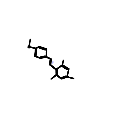 COc1ccc(/C=C/c2c(C)cc(C)cc2C)cc1